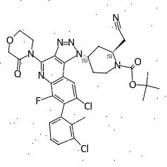 Cc1c(Cl)cccc1-c1c(Cl)cc2c(nc(N3CCOCC3=O)c3nnn([C@H]4CCN(C(=O)OC(C)(C)C)[C@H](CC#N)C4)c32)c1F